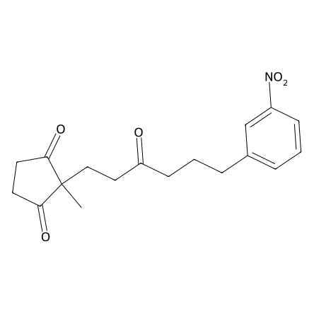 CC1(CCC(=O)CCCc2cccc([N+](=O)[O-])c2)C(=O)CCC1=O